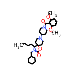 CCCCC1N(CC2CCCCC2)C(=O)OC12CCN(C1CCN(C(=O)c3c(OC)cccc3OC)CC1)CC2